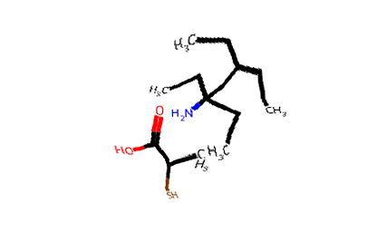 CC(S)C(=O)O.CCC(CC)C(N)(CC)CC